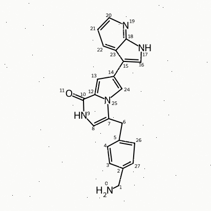 NCc1ccc(Cc2c[nH]c(=O)c3cc(-c4c[nH]c5ncccc45)cn23)cc1